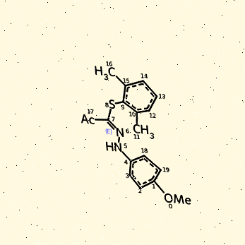 COc1ccc(N/N=C(/Sc2c(C)cccc2C)C(C)=O)cc1